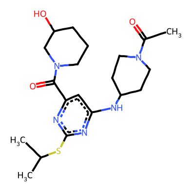 CC(=O)N1CCC(Nc2cc(C(=O)N3CCCC(O)C3)nc(SC(C)C)n2)CC1